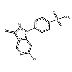 CS(=O)(=O)c1ccc(-n2[nH]c(=O)c3cnc(Cl)cc32)cc1